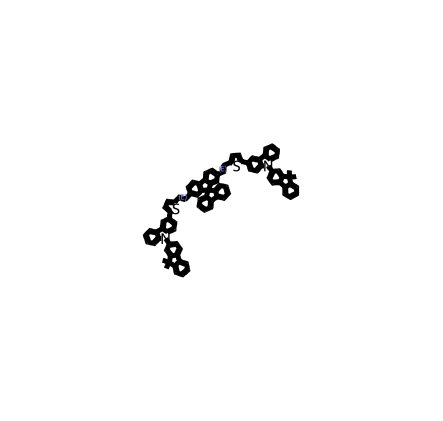 CC1(C)c2ccccc2-c2ccc(-n3c4ccccc4c4cc(-c5ccc(/C=C/c6ccc7c(c6)C6(c8ccccc8-c8ccccc86)c6cc(/C=C/c8ccc(-c9ccc%10c(c9)c9ccccc9n%10-c9ccc%10c(c9)C(C)(C)c9ccccc9-%10)s8)ccc6-7)s5)ccc43)cc21